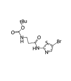 CC(C)(C)OC(=O)NCCC(=O)Nc1ncc(Br)s1